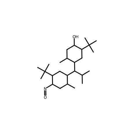 CC(C)C(C1CC(C(C)(C)C)C(O)CC1C)C1CC(C(C)(C)C)C(N=O)CC1C